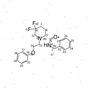 C[C@H](NC(=O)[C@H]1CCC(F)(F)CN1CCOc1ccccc1)c1ccccc1